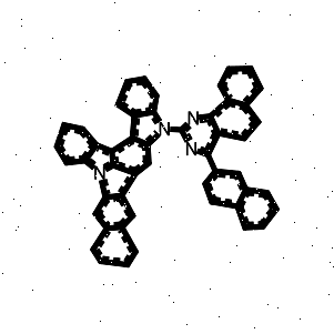 c1ccc2cc(-c3nc(-n4c5ccccc5c5c6c7ccccc7n7c8cc9ccccc9cc8c(cc54)c67)nc4c3ccc3ccccc34)ccc2c1